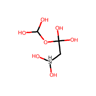 OC(O)OC(O)(O)C[SiH](O)O